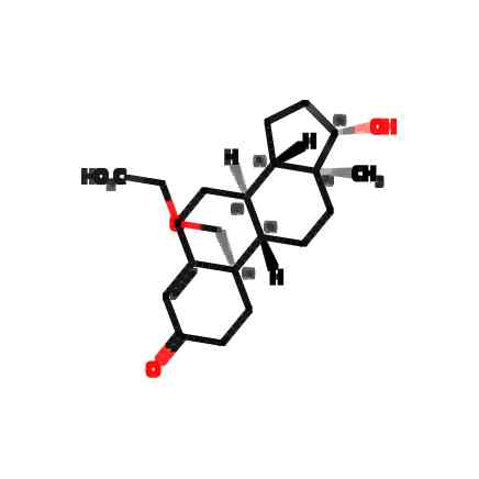 C[C@]12CC[C@H]3[C@@H](CCC4=CC(=O)CC[C@@]43COCC(=O)O)[C@@H]1CC[C@@H]2O